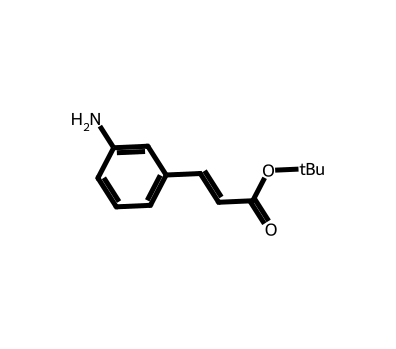 CC(C)(C)OC(=O)C=Cc1cccc(N)c1